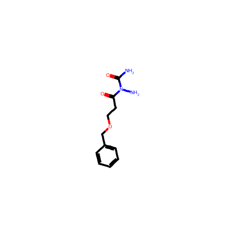 NC(=O)N(N)C(=O)[CH]COCc1ccccc1